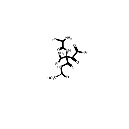 CCCC(=O)C(=O)[C@](NC(=O)C(N)C(C)C)(C(=O)N[C@H](C(=O)O)C(C)C)C(N)C(C)C